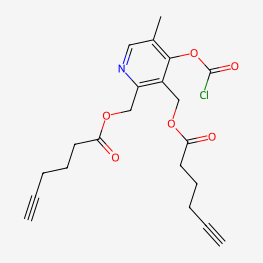 C#CCCCC(=O)OCc1ncc(C)c(OC(=O)Cl)c1COC(=O)CCCC#C